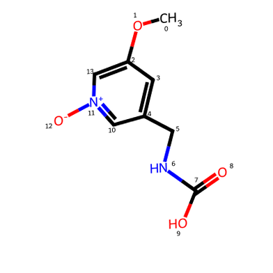 COc1cc(CNC(=O)O)c[n+]([O-])c1